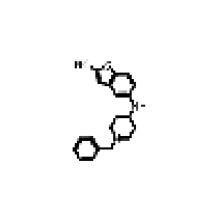 N#Cc1cc2cc(NC3CCN(Cc4ccccc4)CC3)ccc2s1